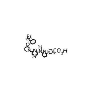 CCOc1ccccc1O[C@@H]1CCCN(c2cncc(Nc3cccc(N4CCC(C)(C(=O)O)C4)n3)n2)C1